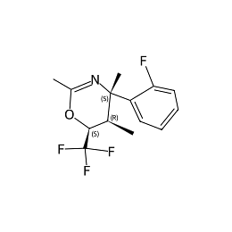 CC1=N[C@](C)(c2ccccc2F)[C@@H](C)[C@@H](C(F)(F)F)O1